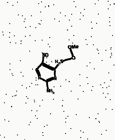 COO[SH4]c1nc(N)ncc1N=O